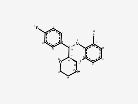 Fc1ccc([C@H](Oc2c(F)cccc2F)[C@H]2CNCCO2)cc1